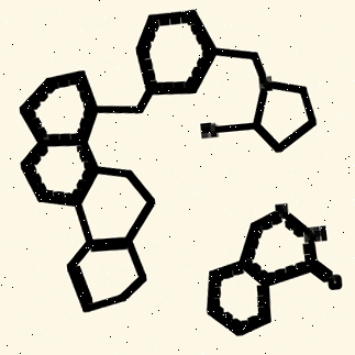 CCC1CCCN1Cc1cccc(Cc2cccc3ccc4c(c23)CCC2=C4C=CCC2)c1.O=c1[nH]ncc2ccccc12